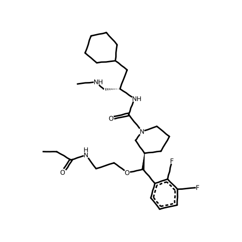 CCC(=O)NCCOC(c1cccc(F)c1F)[C@@H]1CCCN(C(=O)N[C@H](CNC)CC2CCCCC2)C1